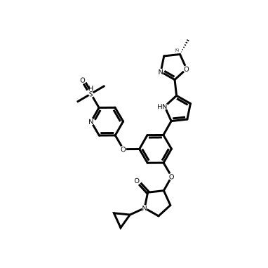 C[C@H]1CN=C(c2ccc(-c3cc(Oc4ccc([SH](C)(C)=O)nc4)cc(OC4CCN(C5CC5)C4=O)c3)[nH]2)O1